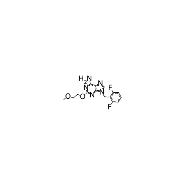 COCCOc1nc(N)c2ncn(Cc3c(F)cccc3F)c2n1